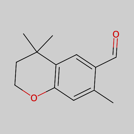 Cc1cc2c(cc1C=O)C(C)(C)CCO2